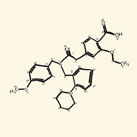 CCOc1cc(CC(=O)N(Cc2ccc(OC)cc2)Cc2ccccc2N2CCCCC2)ccc1C(=O)O